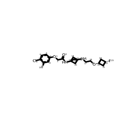 O=C(COc1ccc(Cl)c(F)c1)NC12CC(NCCO[C@H]3C[C@@H](F)C3)(C1)C2